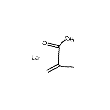 C=C(C)C(=O)O.[La]